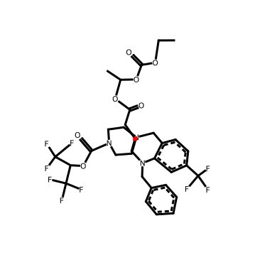 CCOC(=O)OC(C)OC(=O)CCCN(Cc1ccccc1)c1cc(C(F)(F)F)ccc1CN1CCN(C(=O)OC(C(F)(F)F)C(F)(F)F)CC1